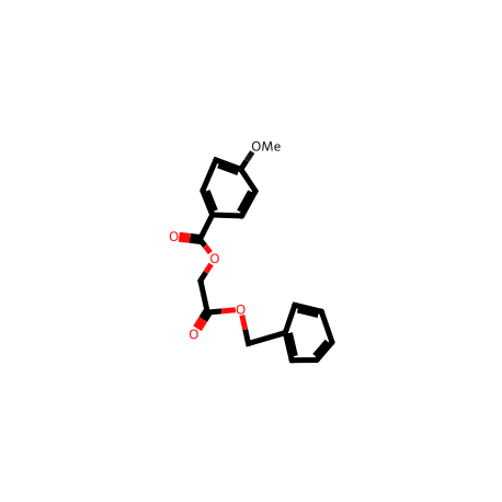 COc1ccc(C(=O)OCC(=O)OCc2ccccc2)cc1